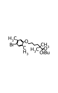 Cc1cc(OCCCCC(C)(C)C(=O)OCC(C)C)c(C)cc1Br